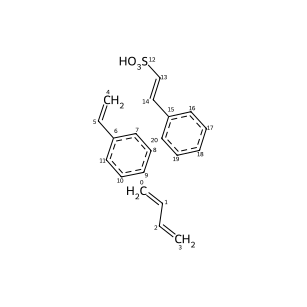 C=CC=C.C=Cc1ccccc1.O=S(=O)(O)C=Cc1ccccc1